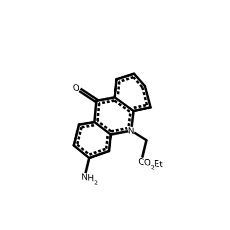 CCOC(=O)Cn1c2ccccc2c(=O)c2ccc(N)cc21